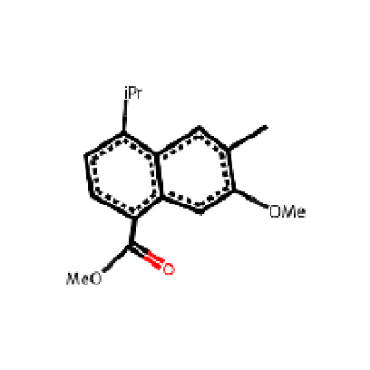 COC(=O)c1ccc(C(C)C)c2cc(C)c(OC)cc12